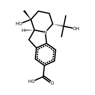 CC(C)(O)[C@H]1CC[C@@](C)(O)[C@@H]2Cc3cc(C(=O)O)ccc3N21